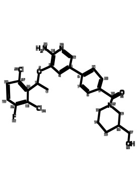 CC(Oc1cc(-c2ccc(C(=O)N3CCCC(CO)C3)cc2)cnc1N)c1c(Cl)ccc(F)c1Cl